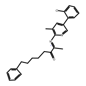 C/C(=N\c1ncc(-c2ccccc2Cl)cc1C)C(=O)CCCCCc1ccccc1